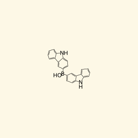 OB(c1ccc2[nH]c3ccccc3c2c1)c1ccc2[nH]c3ccccc3c2c1